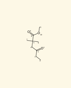 CCC(=O)CC(C)(C)C(=O)OC